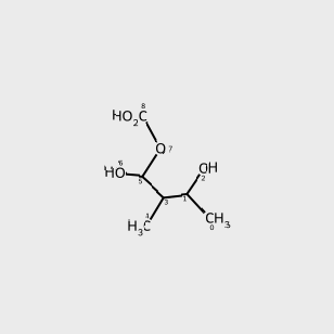 CC(O)C(C)C(O)OC(=O)O